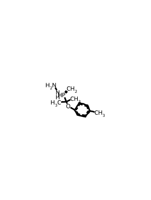 C=[PH](NN)C(C)(C)Oc1ccc(C)cc1